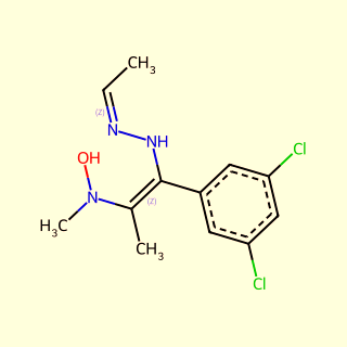 C/C=N\N/C(=C(/C)N(C)O)c1cc(Cl)cc(Cl)c1